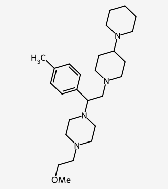 COCCN1CCN(C(CN2CCC(N3CCCCC3)CC2)c2ccc(C)cc2)CC1